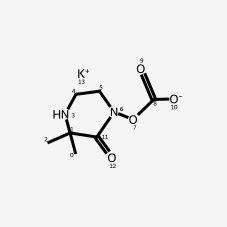 CC1(C)NCCN(OC(=O)[O-])C1=O.[K+]